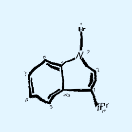 CC(C)c1cn(Br)c2ccccc12